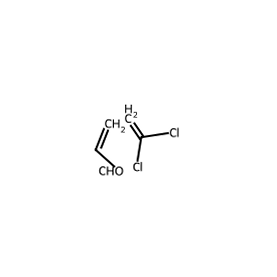 C=C(Cl)Cl.C=CC=O